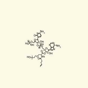 C=CCCC(=O)NC(COCCC(C)(C)O)C(=O)O[C@H]1[C@@H](O)[C@H](n2cnc3c(N)ncnc32)O[C@@H]1COP(=O)(O)O[C@H]1[C@@H](O)[C@H](n2ccc(N)nc2=O)O[C@@H]1COP(=O)(O)O